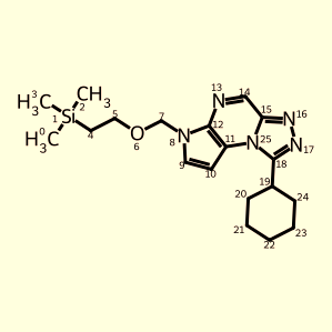 C[Si](C)(C)CCOCn1ccc2c1ncc1nnc(C3CCCCC3)n12